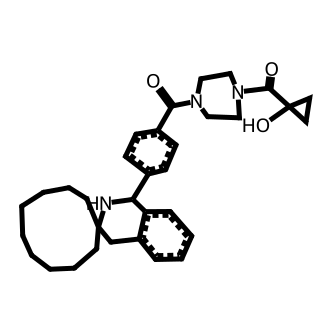 O=C(c1ccc(C2NC3(CCCCCCCCC3)Cc3ccccc32)cc1)N1CCN(C(=O)C2(O)CC2)CC1